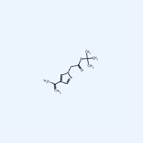 C=C(C)c1cnn(CC(=O)OC(C)(C)C)c1